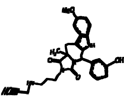 C#CCNCCCN1C(=O)N2C(c3cccc(O)c3)c3[nH]c4ccc(OC)cc4c3CC2(C)C1=O